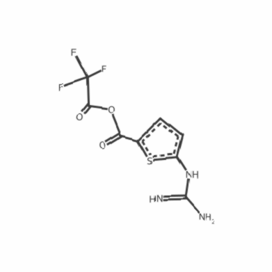 N=C(N)Nc1ccc(C(=O)OC(=O)C(F)(F)F)s1